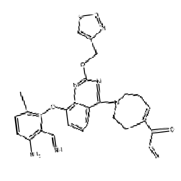 C=CC(=O)C1=CCCN(c2nc(OCc3cscn3)nc3c(Oc4c(C)ccc(N)c4C=N)cccc23)CC1